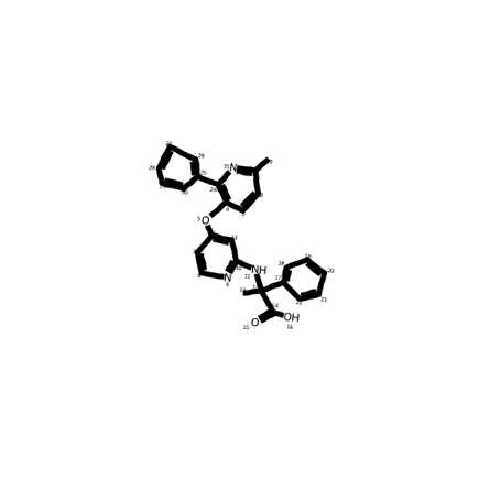 Cc1ccc(Oc2ccnc(NC(C)(C(=O)O)c3ccccc3)c2)c(-c2ccccc2)n1